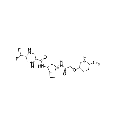 O=C(COC1CCC(C(F)(F)F)NC1)N[C@H]1CC(NC(=O)C2CNC(C(F)F)CN2)C2CCC21